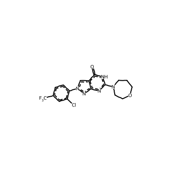 O=c1[nH]c(N2CCCOCC2)nc2nn(-c3ccc(C(F)(F)F)cc3Cl)cc12